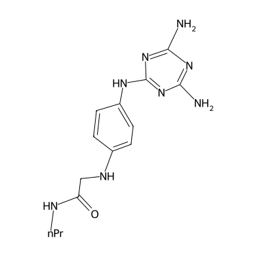 CCCNC(=O)CNc1ccc(Nc2nc(N)nc(N)n2)cc1